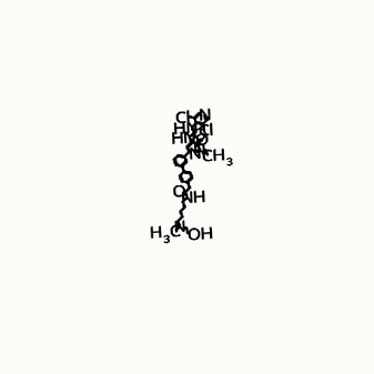 CCn1nc(-c2cccc(-c3ccc(CC(=O)NCCCCCN(C)CCO)cc3)c2)cc(NC(=O)Nc2c(Cl)cncc2Cl)c1=O